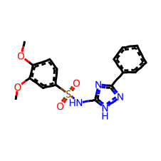 COc1ccc(S(=O)(=O)Nc2nc(-c3ccccc3)n[nH]2)cc1OC